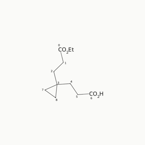 CCOC(=O)CCC1(CCC(=O)O)CC1